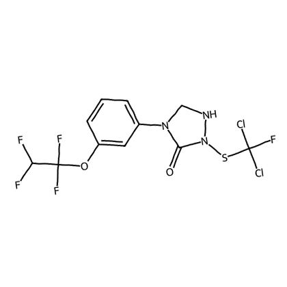 O=C1N(SC(F)(Cl)Cl)NCN1c1cccc(OC(F)(F)C(F)F)c1